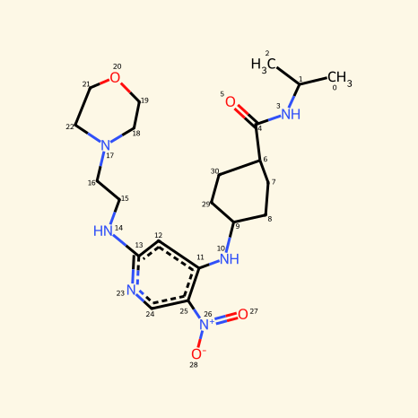 CC(C)NC(=O)C1CCC(Nc2cc(NCCN3CCOCC3)ncc2[N+](=O)[O-])CC1